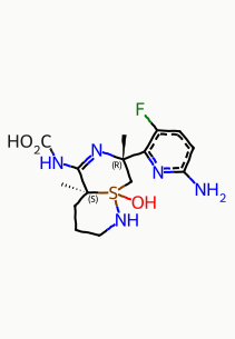 C[C@@]12CCCNS1(O)C[C@@](C)(c1nc(N)ccc1F)N=C2NC(=O)O